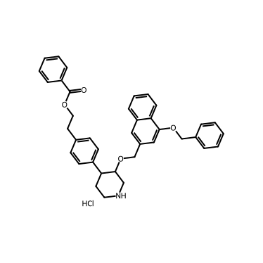 Cl.O=C(OCCc1ccc(C2CCNCC2OCc2cc(OCc3ccccc3)c3ccccc3c2)cc1)c1ccccc1